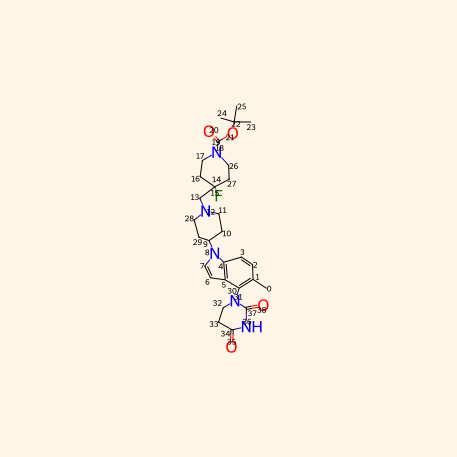 Cc1ccc2c(ccn2C2CCN(CC3(F)CCN(C(=O)OC(C)(C)C)CC3)CC2)c1N1CCC(=O)NC1=O